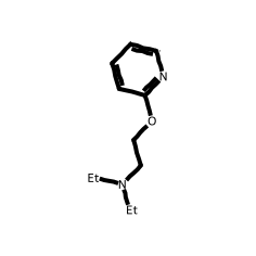 CCN(CC)CCOc1cc[c][c]n1